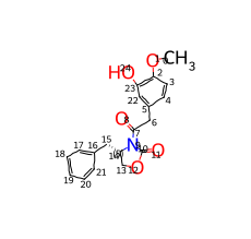 COc1ccc(CC(=O)N2C(=O)OC[C@@H]2Cc2ccccc2)cc1O